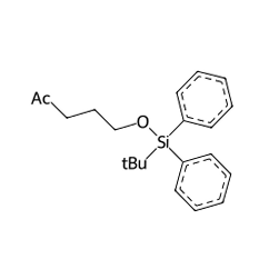 CC(=O)CCCO[Si](c1ccccc1)(c1ccccc1)C(C)(C)C